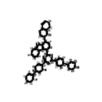 C1=Cc2ccc(-c3ccc(-c4nc(-c5ccc(-c6ccccc6)cc5)nc(-c5ccc(-c6ccccc6)cc5)n4)c4c3oc3ccccc34)cc2CC1